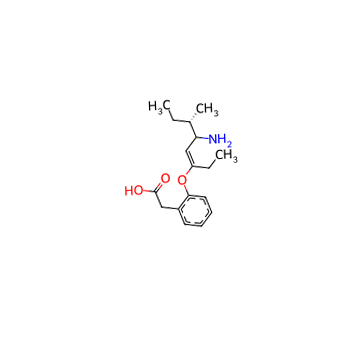 CC/C(=C\C(N)[C@@H](C)CC)Oc1ccccc1CC(=O)O